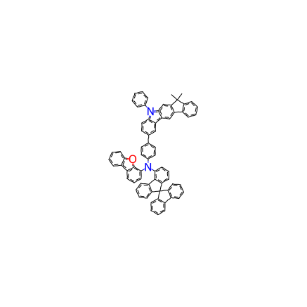 CC1(C)c2ccccc2-c2cc3c4cc(-c5ccc(N(c6cccc7c6-c6ccccc6C76c7ccccc7-c7ccccc76)c6cccc7c6oc6ccccc67)cc5)ccc4n(-c4ccccc4)c3cc21